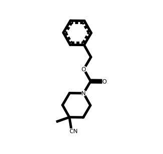 CC1(C#N)CCN(C(=O)OCc2ccccc2)CC1